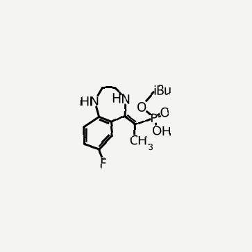 CCC(C)OP(=O)(O)C(C)=C1NCCNc2ccc(F)cc21